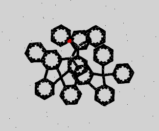 c1ccc(N(c2ccccc2)c2ccc3c(c2)C2(c4ccccc4-3)c3ccccc3-c3c2c(N(c2ccccc2)c2ccc4c(c2)C(c2ccccc2)(c2ccccc2)c2ccccc2-4)cc2ccccc32)cc1